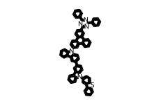 c1ccc(-c2nc(-c3ccccc3)nc(-c3ccc4c5ccc(-n6c7ccccc7c7cc(-c8ccc9c(c8)c8ccccc8n9-c8ccc9sc%10ccccc%10c9c8)ccc76)cc5c5ccccc5c4c3)n2)cc1